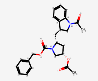 CC(=O)O[C@H]1C[C@@H](C[C@@H]2CN(C(C)=O)c3ccccc32)N(C(=O)OCc2ccccc2)C1